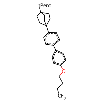 CCCCCC12CCC(c3ccc(-c4ccc(OCCCC(F)(F)F)cc4)cc3)(CC1)CC2